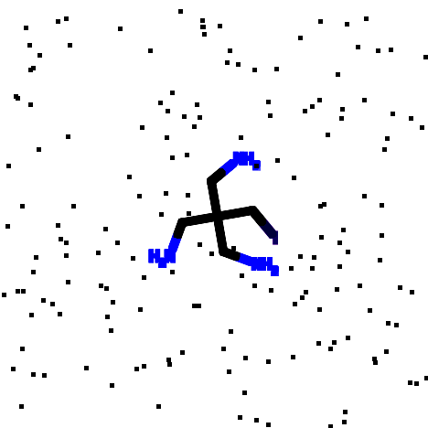 NCC(CN)(CN)CI